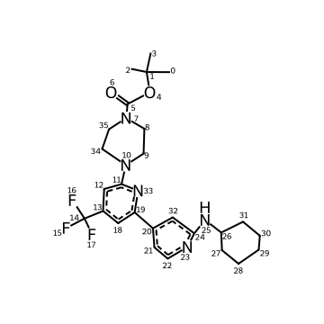 CC(C)(C)OC(=O)N1CCN(c2cc(C(F)(F)F)cc(-c3ccnc(NC4CCCCC4)c3)n2)CC1